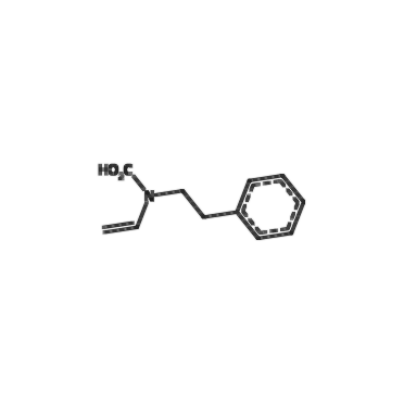 C=CN(CCc1ccccc1)C(=O)O